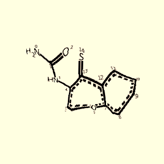 NC(=O)Nc1coc2ccccc2c1=S